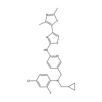 Cc1nc(C)c(-c2csc(Nc3ccc(CN(CC4CC4)c4ccc(Cl)cc4F)cn3)n2)s1